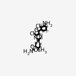 CC1(OC(N)=O)CCN(c2cnc(C(=O)c3cccc(N)c3Cl)c(Cl)n2)CC1